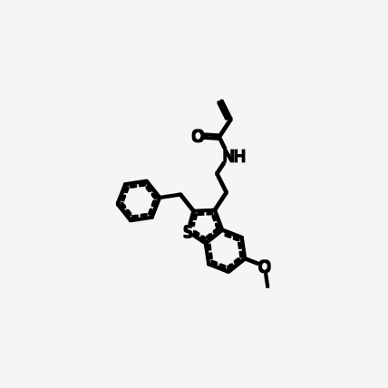 C=CC(=O)NCCc1c(Cc2ccccc2)sc2ccc(OC)cc12